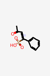 CC(=O)/C=C(/c1ccccc1)S(=O)(=O)O